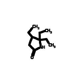 CCC1CC(=O)NC1(CC)CC